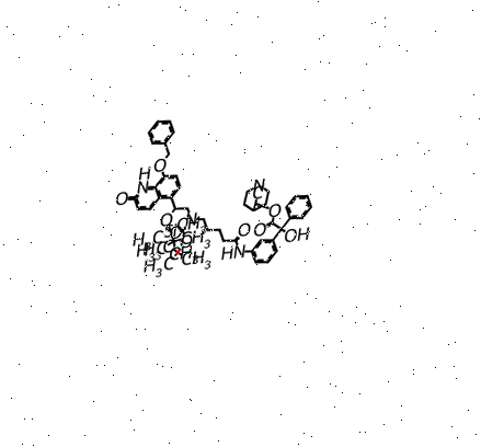 CC(C)(C)OC(=O)N(CCCCC(=O)Nc1cccc(C(O)(C(=O)OC2CN3CCC2CC3)c2ccccc2)c1)CC(O[Si](C)(C)C(C)(C)C)c1ccc(OCc2ccccc2)c2[nH]c(=O)ccc12